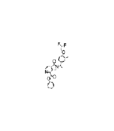 Cc1cc(C(C)N2Cc3c(ccnc3C(=O)Oc3ccccc3)C2=O)ccc1OCC(F)F